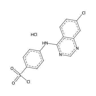 Cl.O=S(=O)(Cl)c1ccc(Nc2ncnc3cc(Cl)ccc23)cc1